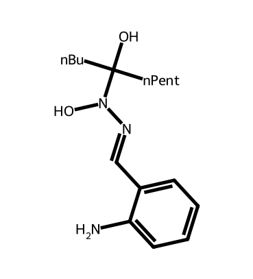 CCCCCC(O)(CCCC)N(O)N=Cc1ccccc1N